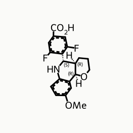 COc1ccc2c(c1)[C@@H]1OCCC[C@@H]1[C@@H](c1c(F)cc(C(=O)O)cc1F)N2